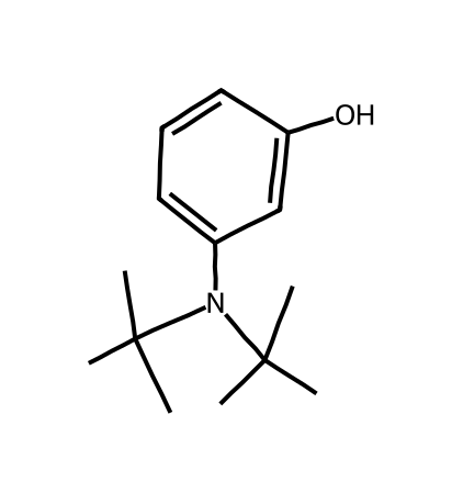 CC(C)(C)N(c1cccc(O)c1)C(C)(C)C